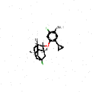 O=C(O)c1cc(C2CC2)c(O[C@@H]2[C@@H]3C[C@@H]4C[C@H]2C[C@@](F)(C4)C3)cc1F